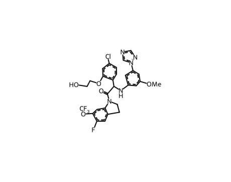 COc1cc(NC(C(=O)N2CCc3cc(F)c(OC(F)(F)F)cc32)c2ccc(Cl)cc2OCCO)cc(-n2cncn2)c1